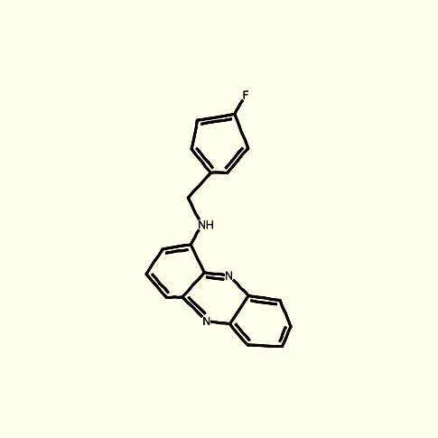 Fc1ccc(CNc2cccc3nc4ccccc4nc23)cc1